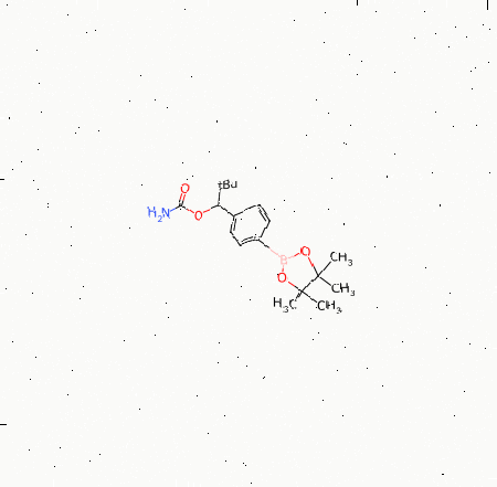 CC(C)(C)C(OC(N)=O)c1ccc(B2OC(C)(C)C(C)(C)O2)cc1